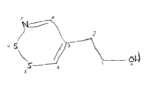 OCCC1=CSSN=C1